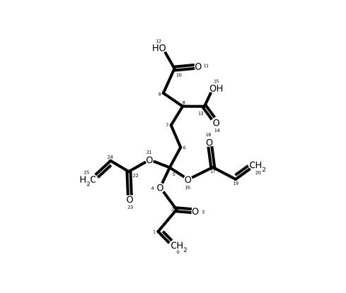 C=CC(=O)OC(CCC(CC(=O)O)C(=O)O)(OC(=O)C=C)OC(=O)C=C